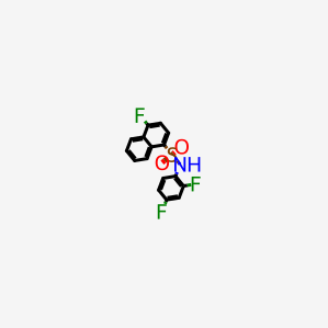 O=S(=O)(Nc1ccc(F)cc1F)c1ccc(F)c2ccccc12